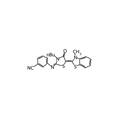 CCCCN1C(=O)/C(=C2/Sc3ccccc3N2C)S/C1=N/c1cccc(C#N)c1